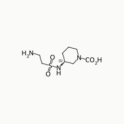 NCCS(=O)(=O)N[C@H]1CCCN(C(=O)O)C1